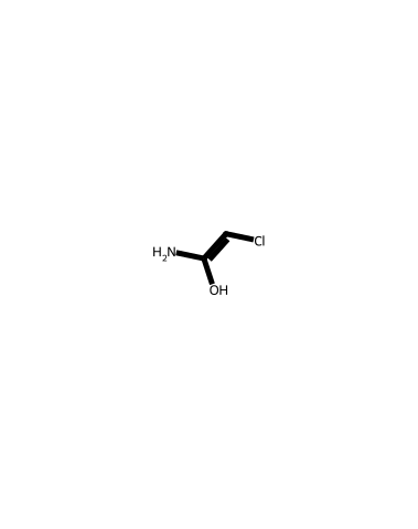 NC(O)=CCl